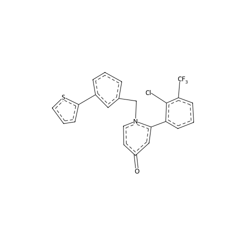 O=c1ccn(Cc2cccc(-c3cccs3)c2)c(-c2cccc(C(F)(F)F)c2Cl)c1